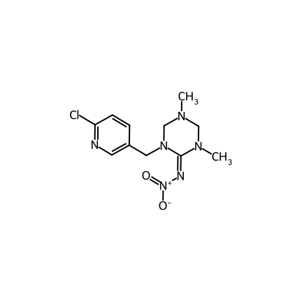 CN1CN(C)C(=N[N+](=O)[O-])N(Cc2ccc(Cl)nc2)C1